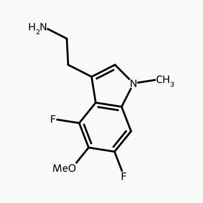 COc1c(F)cc2c(c(CCN)cn2C)c1F